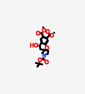 COC(=O)c1cc2c(cc1C(=O)OC)C(O)CC1(CCN(C(=O)OC(C)(C)C)C1)O2